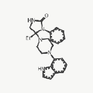 CCC1(N2CCN(c3cccc4cc[nH]c34)CC2)CNC(=O)N1c1ccccc1